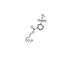 CS(=O)(=O)c1cccc(C(=O)OCCCC(=O)O)c1